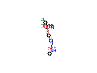 O=C(NCCN1CCN(c2ccc(OCC3COC(Cn4ccnc4)(c4ccc(Cl)cc4Cl)O3)cc2)CC1)Nc1ccccc1